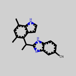 Cc1cc(C)c2[nH]ccc2c1C(C)c1nc2cc(C#N)ccc2[nH]1